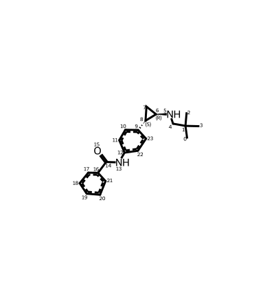 CC(C)(C)CN[C@@H]1C[C@H]1c1ccc(NC(=O)c2ccccc2)cc1